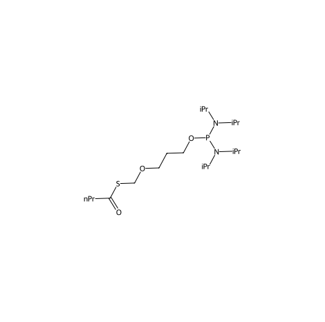 CCCC(=O)SCOCCCOP(N(C(C)C)C(C)C)N(C(C)C)C(C)C